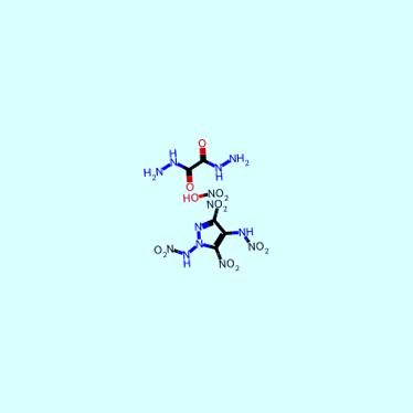 NNC(=O)C(=O)NN.O=[N+]([O-])Nc1c([N+](=O)[O-])nn(N[N+](=O)[O-])c1[N+](=O)[O-].O=[N+]([O-])O